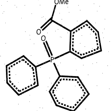 COC(=O)c1ccccc1P(=O)(c1ccccc1)c1ccccc1